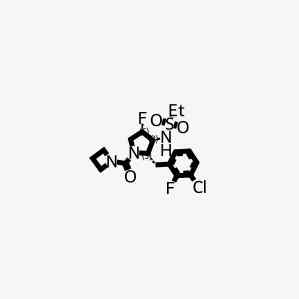 CCS(=O)(=O)N[C@H]1[C@@H](F)CN(C(=O)N2CCC2)[C@H]1Cc1cccc(Cl)c1F